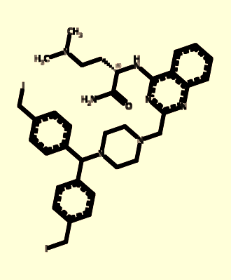 CN(C)CC[C@H](Nc1nc(CN2CCN(C(c3ccc(CI)cc3)c3ccc(CI)cc3)CC2)nc2ccccc12)C(N)=O